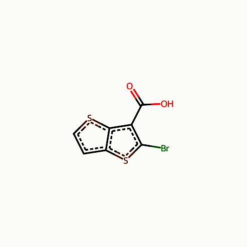 O=C(O)c1c(Br)sc2ccsc12